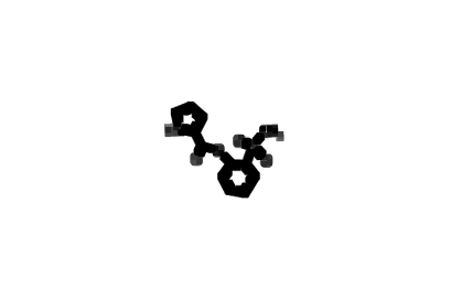 CS(=O)(=O)c1ccccc1OC(=O)c1ccc[nH]1